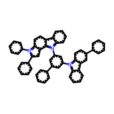 c1ccc(-c2cc(-n3c4ccccc4c4cc(-c5ccccc5)ccc43)cc(-n3c4ccccc4c4ccc5c(cc(-c6ccccc6)n5-c5ccccc5)c43)c2)cc1